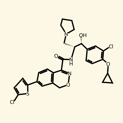 O=C(N[C@H](CN1CCCC1)[C@H](O)c1ccc(OC2CC2)c(Cl)c1)C1=NOCc2cc(-c3ccc(Cl)s3)ccc21